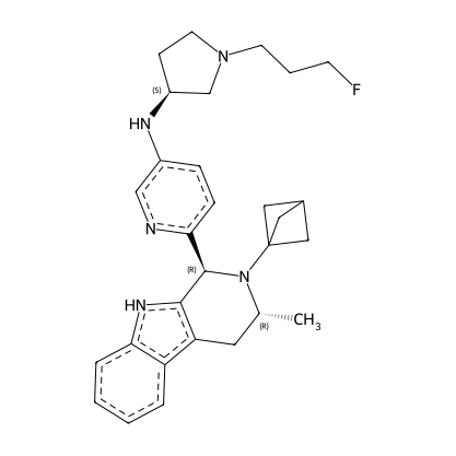 C[C@@H]1Cc2c([nH]c3ccccc23)[C@@H](c2ccc(N[C@H]3CCN(CCCF)C3)cn2)N1C12CC(C1)C2